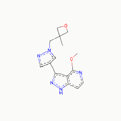 COc1nccc2[nH]nc(-c3cnn(CC4(C)COC4)c3)c12